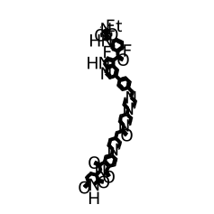 CCN(C)S(=O)(=O)Nc1ccc(F)c(C(=O)c2c[nH]c3ncc(-c4ccc(CN5CCN(C6CCN(C(=O)CC7CCN(c8ccc9c(c8)C(=O)N(C8CCC(=O)NC8=O)C9=O)CC7)CC6)CC5)cc4)cc23)c1F